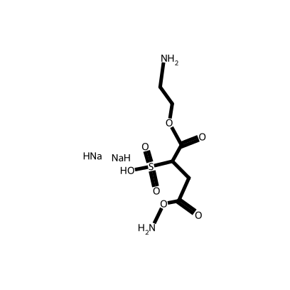 NCCOC(=O)C(CC(=O)ON)S(=O)(=O)O.[NaH].[NaH]